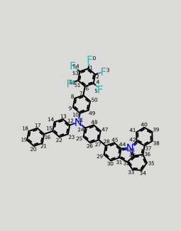 Fc1c(F)c(F)c(-c2ccc(N(c3ccc(-c4ccccc4)cc3)c3ccc(-c4ccc5c6cccc7c8ccccc8n(c5c4)c76)cc3)cc2)c(F)c1F